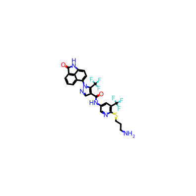 NCCCSc1ncc(NC(=O)c2cnn(-c3ccc4c5c(cccc35)C(=O)N4)c2C(F)(F)F)cc1C(F)(F)F